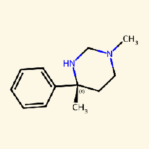 CN1CC[C@](C)(c2ccccc2)NC1